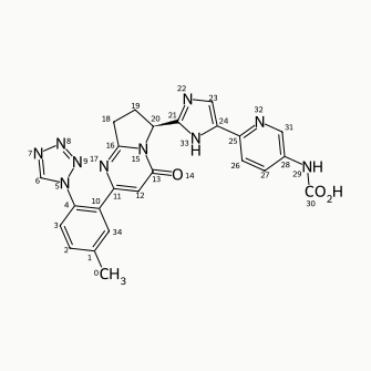 Cc1ccc(-n2cnnn2)c(-c2cc(=O)n3c(n2)CC[C@H]3c2ncc(-c3ccc(NC(=O)O)cn3)[nH]2)c1